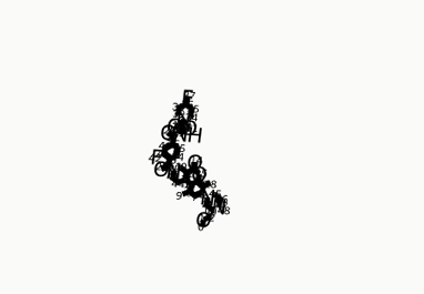 COC[C@H]1CN(c2cc(C)c3c4c(c(=O)oc3c2C)CN(C(=O)c2ccc(C(=O)NS(=O)(=O)N3CCC(F)CC3)cc2F)CC4)CCN1C